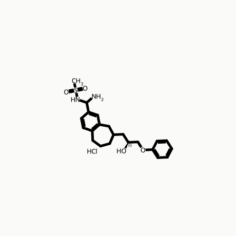 CS(=O)(=O)NC(N)c1ccc2c(c1)CC(C[C@H](O)COc1ccccc1)CCC2.Cl